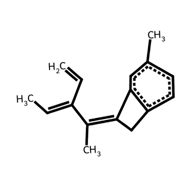 C=CC(=C\C)/C(C)=C1/Cc2ccc(C)cc21